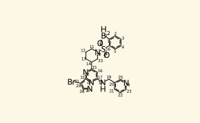 Bc1ccccc1S(=O)(=O)N1CCCC(c2cc(NCc3cccnc3)n3ncc(Br)c3n2)C1